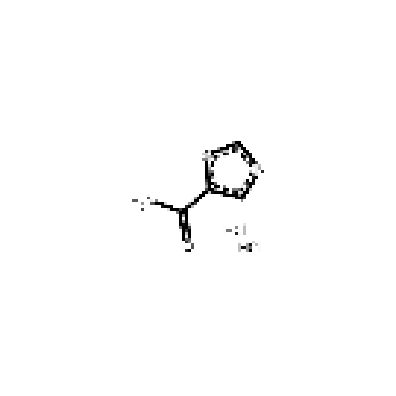 Cl.Cl.NC(=O)c1cncs1